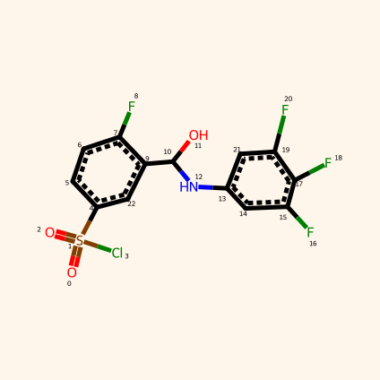 O=S(=O)(Cl)c1ccc(F)c(C(O)Nc2cc(F)c(F)c(F)c2)c1